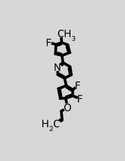 C=CCOc1ccc(-c2ccc(-c3ccc(C)c(F)c3)nc2)c(F)c1F